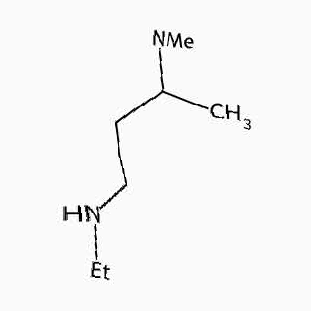 CCNCCC(C)NC